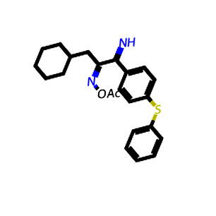 CC(=O)ON=C(CC1CCCCC1)C(=N)c1ccc(Sc2ccccc2)cc1